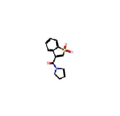 O=C(C1=CS(=O)(=O)c2ccccc21)N1CCCC1